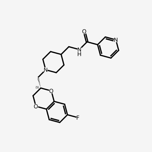 O=C(NCC1CCN(C[C@H]2COc3ccc(F)cc3O2)CC1)c1cccnc1